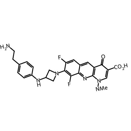 CNn1cc(C(=O)O)c(=O)c2cc3cc(F)c(N4CC(Nc5ccc(CCN)cc5)C4)c(F)c3nc21